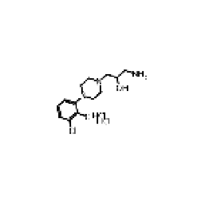 Cl.Cl.NCC(O)CN1CCN(c2cccc(Cl)c2Cl)CC1